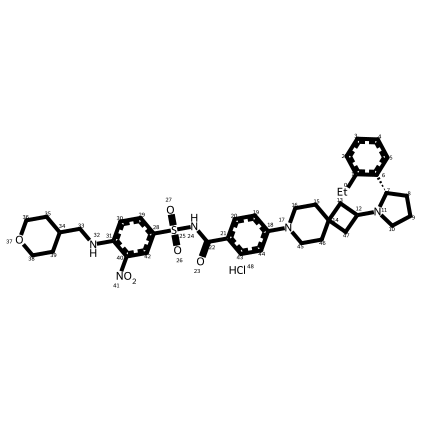 CCc1ccccc1[C@@H]1CCCN1C1CC2(CCN(c3ccc(C(=O)NS(=O)(=O)c4ccc(NCC5CCOCC5)c([N+](=O)[O-])c4)cc3)CC2)C1.Cl